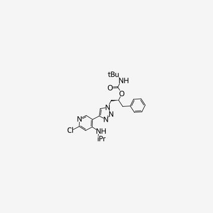 CC(C)Nc1cc(Cl)ncc1-c1cn(C[C@H](Cc2ccccc2)OC(=O)NC(C)(C)C)nn1